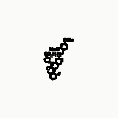 COc1ccc(CNc2cc3c(cn2)CN(c2c(C)cccc2F)C(=O)N3[C@@H]2CCN(C(=O)O)C2)c(OC)c1